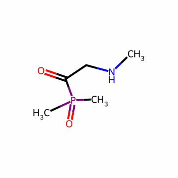 CNCC(=O)P(C)(C)=O